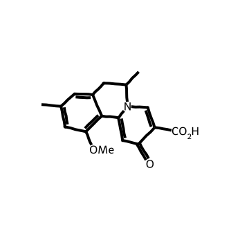 COc1cc(C)cc2c1-c1cc(=O)c(C(=O)O)cn1C(C)C2